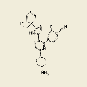 CCC1(c2ncc(-c3ncc(N4CCC(N)CC4)nc3-c3ccc(C#N)c(F)c3)[nH]2)CC=CC=C1F